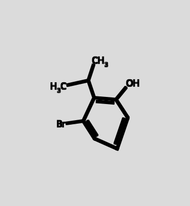 CC(C)c1c(O)cccc1Br